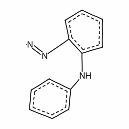 [N]=Nc1ccccc1Nc1ccccc1